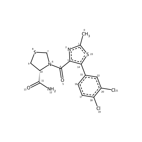 Cc1nc(C(=O)N2CSC[C@H]2C(N)=O)c(-c2ccc(Cl)c(Cl)c2)s1